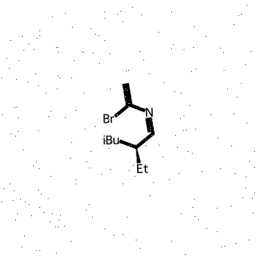 C=C(Br)/N=C\[C@@H](CC)C(C)CC